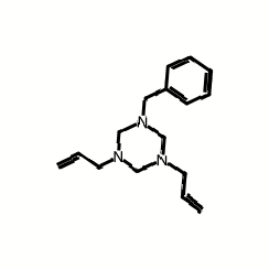 C=CCN1CN(CC=C)CN(Cc2ccccc2)C1